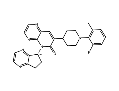 Cc1cccc(F)c1N1CCC(c2cc3nccnc3n([C@@H]3CCc4nccnc43)c2=O)CC1